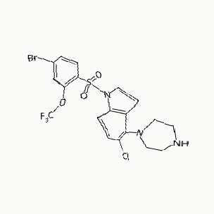 O=S(=O)(c1ccc(Br)cc1OC(F)(F)F)n1ccc2c(N3CCNCC3)c(Cl)ccc21